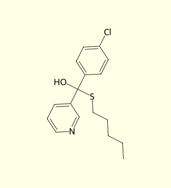 CCCCCSC(O)(c1ccc(Cl)cc1)c1cccnc1